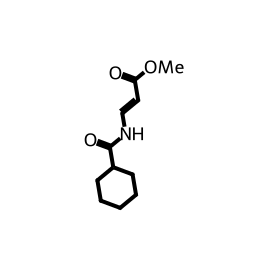 COC(=O)C=CNC(=O)C1CCCCC1